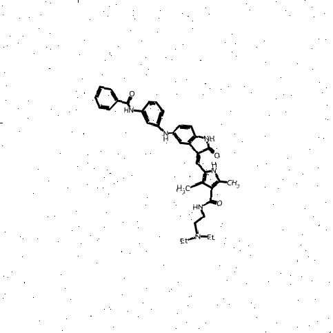 CCN(CC)CCNC(=O)c1c(C)[nH]c(C=C2C(=O)Nc3ccc(Nc4cccc(NC(=O)c5ccccc5)c4)cc32)c1C